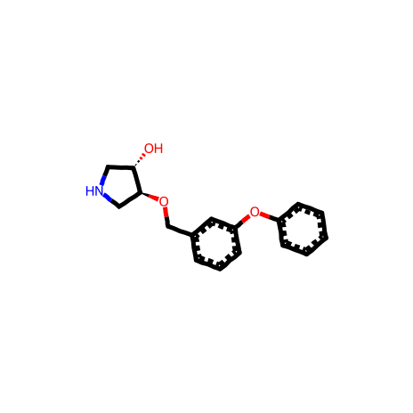 O[C@H]1CNC[C@@H]1OCc1cccc(Oc2ccccc2)c1